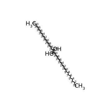 CCCCCCCCCCCCCCCCCCCCCC(O)C(O)CCCCCCCCCCCCCCCCC